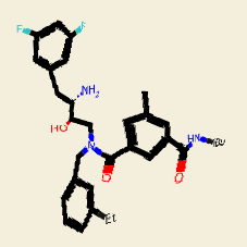 CCc1cccc(CN(C[C@@H](O)[C@@H](N)Cc2cc(F)cc(F)c2)C(=O)c2cc(C)cc(C(=O)NC(C)CC)c2)c1